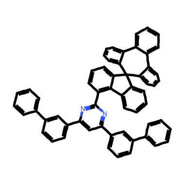 c1ccc(-c2cccc(-c3cc(-c4cccc(-c5ccccc5)c4)nc(-c4cccc5c4-c4ccccc4C54c5ccccc5-c5ccccc5-c5ccccc54)n3)c2)cc1